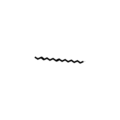 [CH2]CCCCCCCC=CCCCC=CCC